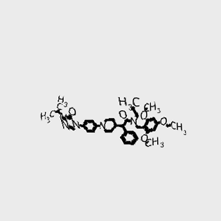 CCCN(Cc1c(OC)cc(OCC)cc1OC)C(=O)C(c1ccccc1)C1CCN(c2ccc(-n3cnn(C(C)C)c3=O)cc2)CC1